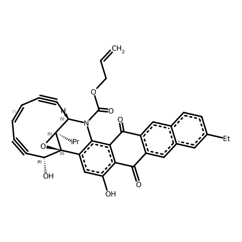 C=CCOC(=O)N1c2c(cc(O)c3c2C(=O)c2cc4ccc(CC)cc4cc2C3=O)[C@@]23O[C@@]2(C(C)C)[C@@H]1C#C/C=C\C#C[C@H]3O